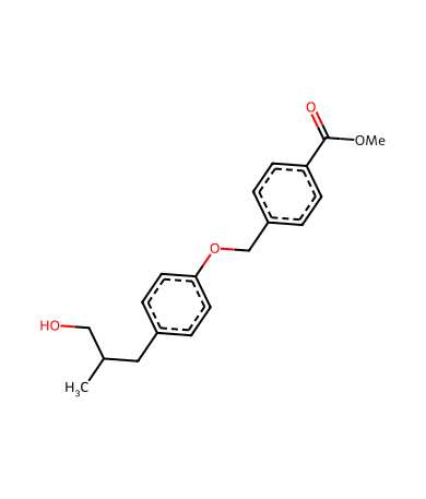 COC(=O)c1ccc(COc2ccc(CC(C)CO)cc2)cc1